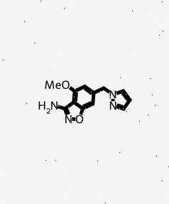 COc1cc(Cn2cccn2)cc2onc(N)c12